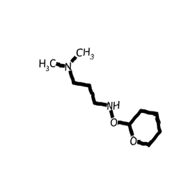 CN(C)CCCNOC1CCCCO1